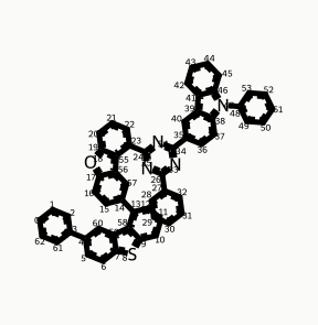 c1ccc(-c2ccc3sc4cccc(-c5ccc6oc7cccc(-c8nc(-c9ccccc9)nc(-c9ccc%10c(c9)c9ccccc9n%10-c9ccccc9)n8)c7c6c5)c4c3c2)cc1